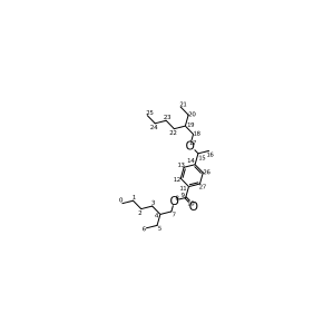 CCCCC(CC)COC(=O)c1ccc(C(C)OCC(CC)CCCC)cc1